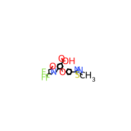 Cc1nnc(-c2ccc(Oc3cc(C(=O)O)ccc3CN3CC(C(F)(F)F)CC3=O)cc2)s1